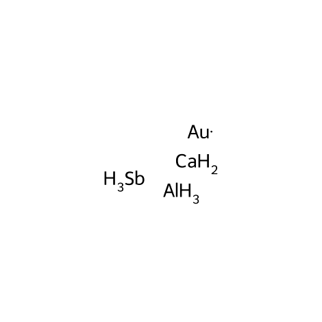 [AlH3].[Au].[CaH2].[SbH3]